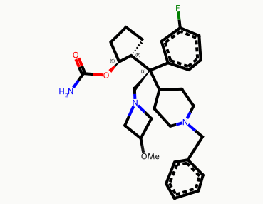 COC1CN(C[C@@](c2cccc(F)c2)(C2CCN(Cc3ccccc3)CC2)[C@H]2CCC[C@@H]2OC(N)=O)C1